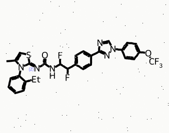 CCc1ccccc1-n1c(C)cs/c1=N\C(=O)NC(F)C(F)c1ccc(-c2ncn(-c3ccc(OC(F)(F)F)cc3)n2)cc1